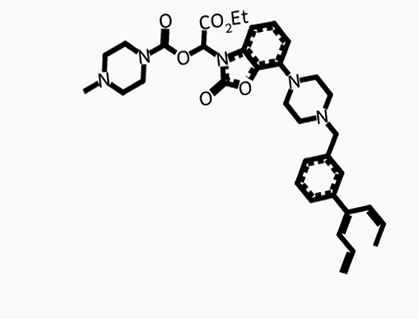 C=C/C=C(\C=C/C)c1cccc(CN2CCN(c3cccc4c3oc(=O)n4C(OC(=O)N3CCN(C)CC3)C(=O)OCC)CC2)c1